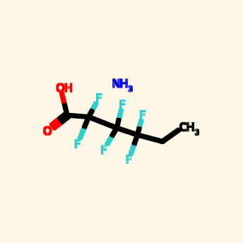 CCC(F)(F)C(F)(F)C(F)(F)C(=O)O.N